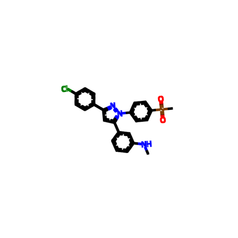 CNc1cccc(-c2cc(-c3ccc(Cl)cc3)nn2-c2ccc(S(C)(=O)=O)cc2)c1